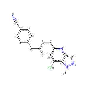 Cn1ncc2nc3ccc(Cc4ccc(C#N)cc4)cc3c(Cl)c21